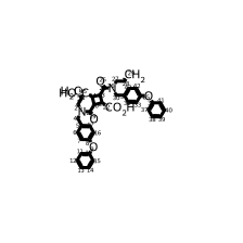 C=CCN(Cc1ccc(Oc2ccccc2)cc1)C(=O)C1C(C(=O)O)C(C(=O)N(CC=C)Cc2ccc(Oc3ccccc3)cc2)C1C(=O)O